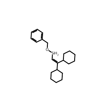 C([SiH2]OCc1ccccc1)=C(C1CCCCC1)C1CCCCC1